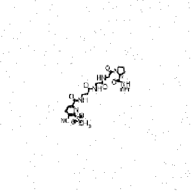 CCCNC(=O)[C@@H]1CCCN1C(=O)CNC(=O)CNC(=O)CCNC(=O)c1ccc(C#N)c(S(C)(=O)=O)n1